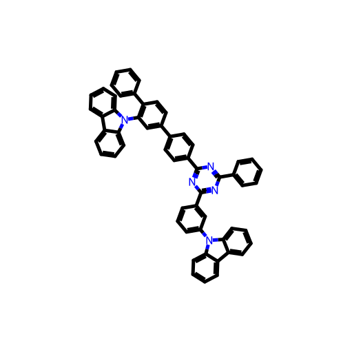 c1ccc(-c2nc(-c3ccc(-c4ccc(-c5ccccc5)c(-n5c6ccccc6c6ccccc65)c4)cc3)nc(-c3cccc(-n4c5ccccc5c5ccccc54)c3)n2)cc1